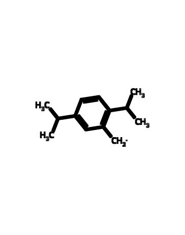 [CH2]c1cc(C(C)C)ccc1C(C)C